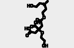 CN(CCO)CCOC(=O)CC(CC(=O)O)(OCCO)C(=O)O